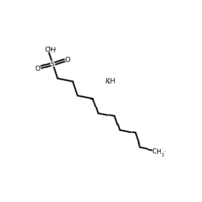 [CH2]CCCCCCCCCS(=O)(=O)O.[KH]